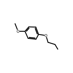 CCCOc1ccc(OC)cc1